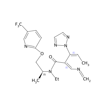 C=N/C=C(C(=O)N(CC)[C@@H](C)COc1ccc(C(F)(F)F)cn1)\C(=C/C)n1nccn1